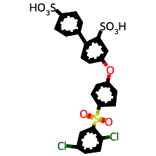 O=S(=O)(O)c1ccc(-c2ccc(Oc3ccc(S(=O)(=O)c4cc(Cl)ccc4Cl)cc3)cc2S(=O)(=O)O)cc1